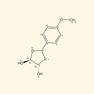 COc1ccc(C2O[C@H](O)[C@@H](O)O2)cc1